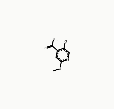 COc1cc(C(N)=O)c(Cl)cn1